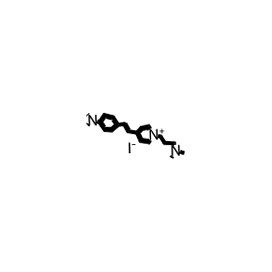 CN(C)CCC[n+]1ccc(C=Cc2ccc(N(C)C)cc2)cc1.[I-]